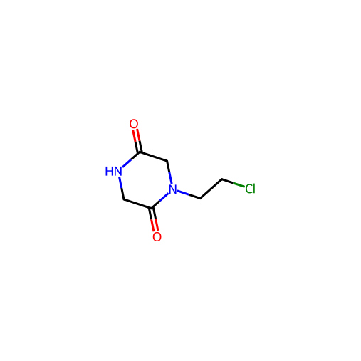 O=C1CN(CCCl)C(=O)CN1